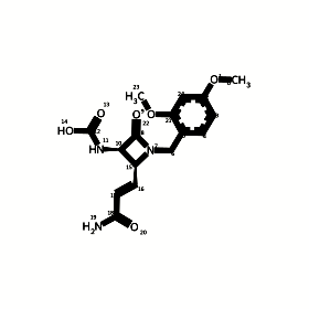 COc1ccc(CN2C(=O)[C@H](NC(=O)O)[C@@H]2/C=C/C(N)=O)c(OC)c1